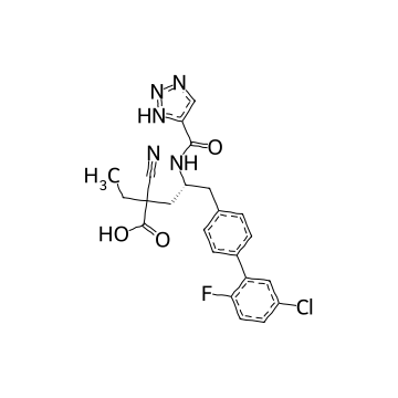 CCC(C#N)(C[C@@H](Cc1ccc(-c2cc(Cl)ccc2F)cc1)NC(=O)c1cnn[nH]1)C(=O)O